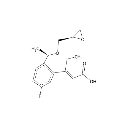 CC/C(=C\C(=O)O)c1cc(F)ccc1[C@@H](C)OC[C@H]1CO1